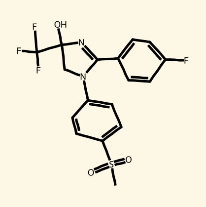 CS(=O)(=O)c1ccc(N2CC(O)(C(F)(F)F)N=C2c2ccc(F)cc2)cc1